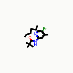 CCCCCC.Cc1cc(NC(=O)C(C)(C)C)ncc1Br